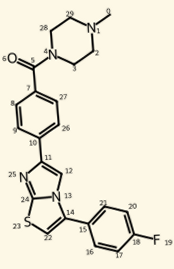 CN1CCN(C(=O)c2ccc(-c3cn4c(-c5ccc(F)cc5)csc4n3)cc2)CC1